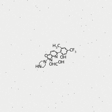 Cc1cc(C(F)(F)F)cc(O)c1-c1ccc2oc(N3CCNCC3)nc2n1.O=CO